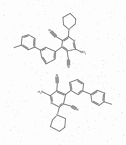 Cc1ccc(-c2cccc(-c3c(C#N)c(N)nc(N4CCCCC4)c3C#N)c2)cc1.Cc1cccc(-c2cccc(-c3c(C#N)c(N)nc(N4CCCCC4)c3C#N)c2)c1